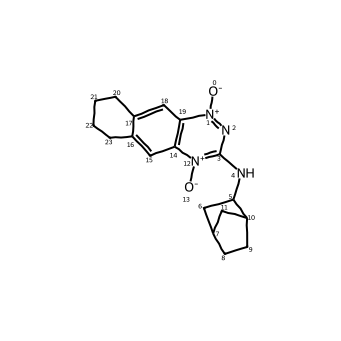 [O-][n+]1nc(NC2CC3CCC2C3)[n+]([O-])c2cc3c(cc21)CCCC3